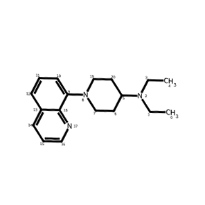 CCN(CC)C1CCN(c2cccc3cccnc23)CC1